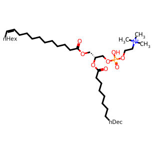 CCCCCC/C=C\CCCCCCCCCC(=O)OC[C@H](COP(=O)(O)OCC[N+](C)(C)C)OC(=O)CCCCCCCCCCCCCCCCC